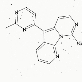 Cc1nccc(-c2c3cccnc3n3c(N)nccc23)n1